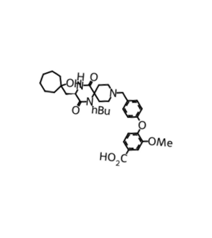 CCCCN1C(=O)[C@@H](CC2(O)CCCCCC2)NC(=O)C12CCN(Cc1ccc(Oc3ccc(C(=O)O)cc3OC)cc1)CC2